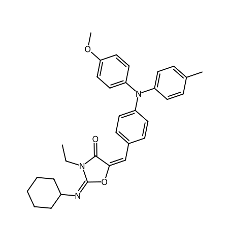 CCN1C(=O)/C(=C\c2ccc(N(c3ccc(C)cc3)c3ccc(OC)cc3)cc2)O/C1=N/C1CCCCC1